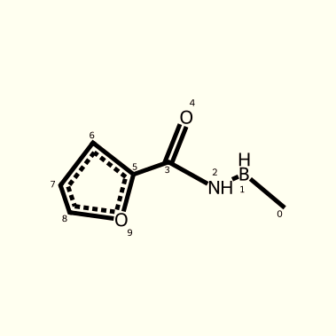 CBNC(=O)c1ccco1